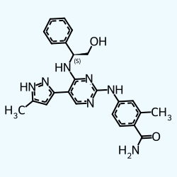 Cc1cc(-c2cnc(Nc3ccc(C(N)=O)c(C)c3)nc2N[C@H](CO)c2ccccc2)n[nH]1